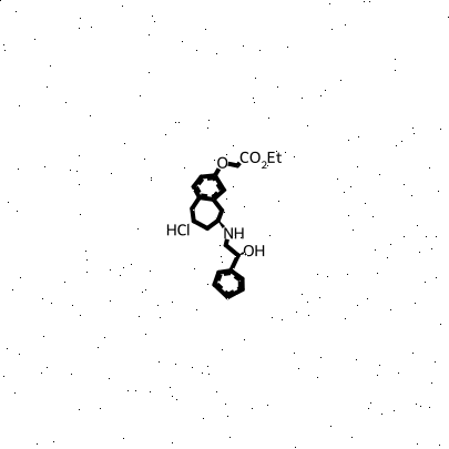 CCOC(=O)COc1ccc2c(c1)C[C@@H](NC[C@H](O)c1ccccc1)CCC2.Cl